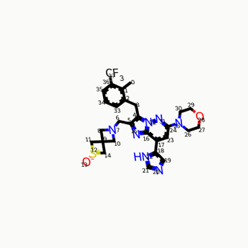 Cc1c(Cc2c(CN3CC4(C3)C[S+]([O-])C4)nc3c(-c4cnc[nH]4)cc(N4CCOCC4)nn23)cccc1C(F)(F)F